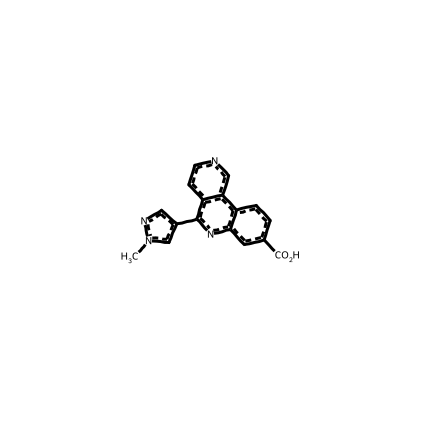 Cn1cc(-c2nc3cc(C(=O)O)ccc3c3cnccc23)cn1